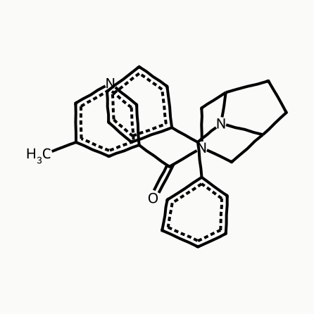 Cc1cncc(C(=O)N2CC3CCC(C2)N3C(c2ccccc2)c2ccccc2)c1